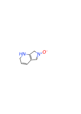 [O-][N+]1=CC2=C(C1)NCC=C2